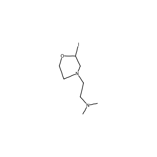 CN(C)CCN1CCOC(I)C1